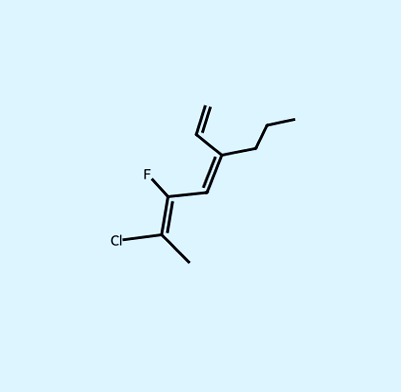 C=C/C(=C\C(F)=C(/C)Cl)CCC